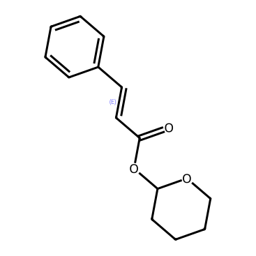 O=C(/C=C/c1ccccc1)OC1CCCCO1